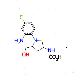 Nc1cc(F)ccc1N1CC(NC(=O)O)CC1CO